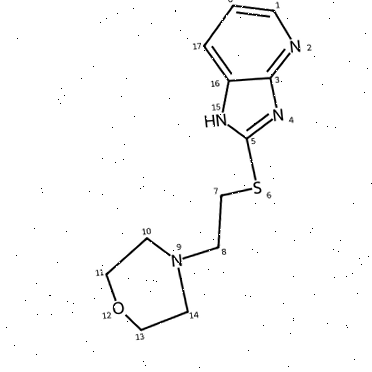 c1cnc2nc(SCCN3CCOCC3)[nH]c2c1